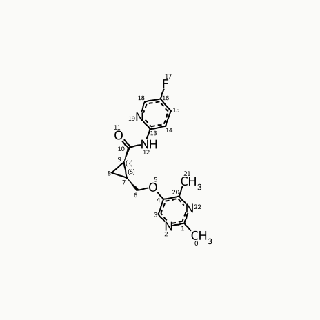 Cc1ncc(OC[C@H]2C[C@H]2C(=O)Nc2ccc(F)cn2)c(C)n1